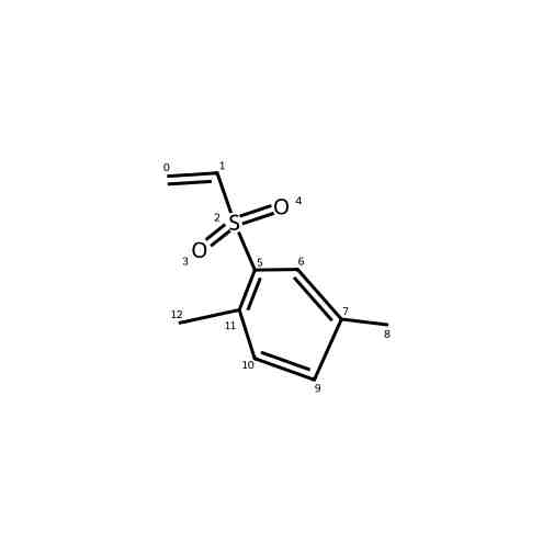 C=CS(=O)(=O)c1cc(C)ccc1C